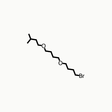 CC(C)CCOCCCCOCCCCBr